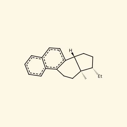 CC[C@H]1CC[C@H]2c3ccc4ccccc4c3CC[C@]12C